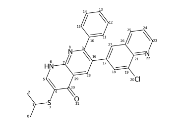 CC(C)Sc1c[nH]c2nc(-c3ccccc3)c(-c3cc(Cl)c4ncccc4c3)cc2c1=O